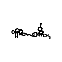 Cc1cc2cc(F)ccc2c(N2CCN(CCCCOc3ccc4c(n3)NC(=O)CC4)CC2)n1